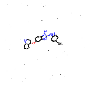 CC(C)(C)c1ccc(Nc2nc3cc(Oc4ccnc5ccccc45)ccc3[nH]2)cc1